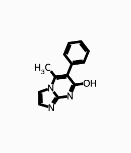 Cc1c(-c2ccccc2)c(O)nc2nccn12